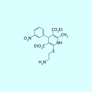 CCOC(=O)C1=C(C)NC(SCCN)=C(C(=O)OCC)C1c1cccc([N+](=O)[O-])c1